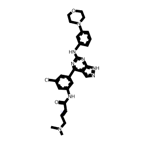 CN(C)C/C=C/C(=O)Nc1cc(Cl)cc(-c2nc(Nc3cccc(N4CCOCC4)c3)nc3[nH]ncc23)c1